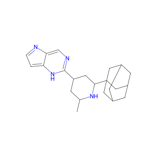 CC1CC(c2ncc3nccc-3[nH]2)CC(C23CC4CC(CC(C4)C2)C3)N1